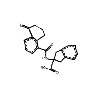 O=C1CCCc2c1cccc2C(=O)NC1(C(=O)O)Cc2ccccc2C1